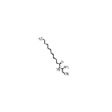 CCCCCCCCCCCC(=O)[NH+]([O-])C(N)CC